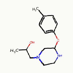 Cc1ccc(OC2CN(CC(C)O)CCN2)cc1